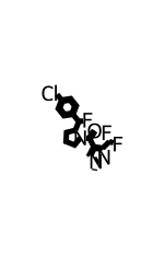 Cn1cc(C(=O)N2CCCC2C(F)c2ccc(Cl)cc2)c(C(F)F)n1